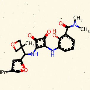 CC(C)c1coc(C(Nc2c(Nc3cccc(C(=O)N(C)C)c3O)c(=O)c2=O)C2(C)COC2)c1